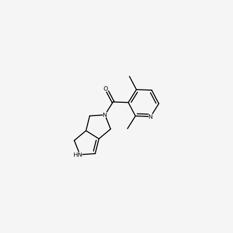 Cc1ccnc(C)c1C(=O)N1CC2=CNCC2C1